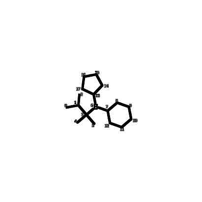 CC(C)C(C)(C)B(C1CCCCC1)C1CCCC1